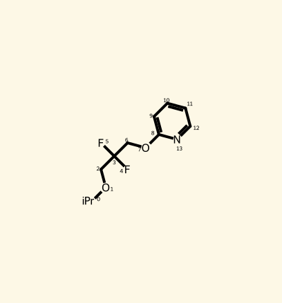 CC(C)OCC(F)(F)COc1ccccn1